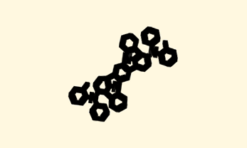 Cc1ccccc1N(c1ccccc1)c1ccc2c3cc4c(cc3n3c5c(c1c23)CCC=C5)c1ccc(N(c2ccccc2)c2ccccc2C)c2c3ccccc3n4c12